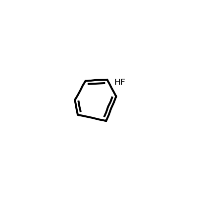 F.c1ccccc1